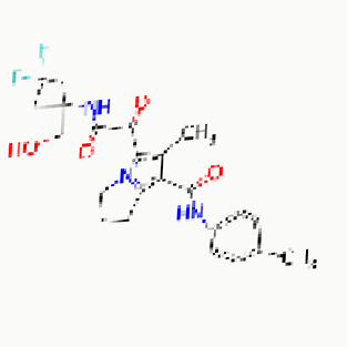 Cc1ccc(NC(=O)c2c(C)c(C(=O)C(=O)NC3(CO)CC(F)(F)C3)n3c2CCC3)cc1